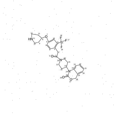 O=C(Cc1ccc(OC2CCNCC2)cc1C(F)(F)F)N1CCC(N2C(=O)OCc3ccccc32)CC1